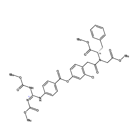 CC(C)(C)OC(=O)CN(C(=O)Cc1ccc(OC(=O)c2ccc(N/C(=N\C(=O)OC(C)(C)C)NC(=O)OC(C)(C)C)cc2)cc1Cl)[C@@H](Cc1ccccc1)C(=O)OC(C)(C)C